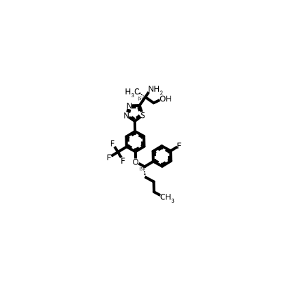 CCCC[C@H](Oc1ccc(-c2nnc([C@@](C)(N)CO)s2)cc1C(F)(F)F)c1ccc(F)cc1